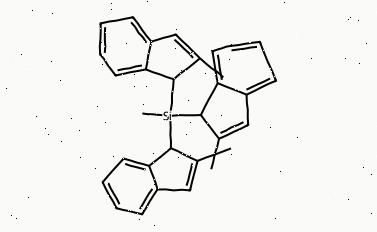 CC1=Cc2ccccc2C1[Si](C)(C1C(C)=Cc2ccccc21)C1C(C)=Cc2ccccc21